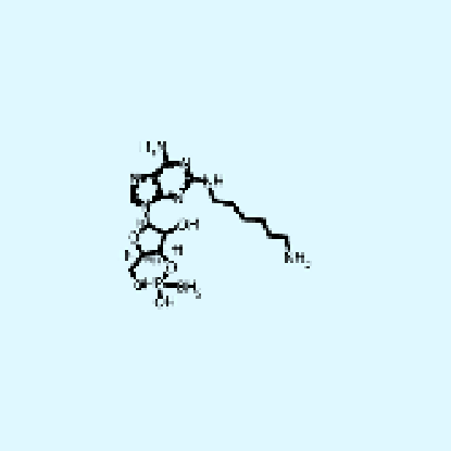 B[PH]1(O)OC[C@H]2O[C@@H](n3cnc4c(N)nc(NCCCCCCN)nc43)C(O)[C@H]2O1